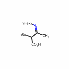 CCCCCC/N=C(/C)C(CCCC)C(=O)O